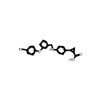 O=C(O)C1CC1c1ccc(NCc2cccc(Oc3ccc(Cl)cc3)c2)cc1